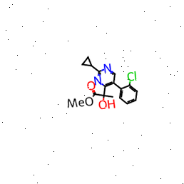 COC(=O)C(C)(O)c1nc(C2CC2)ncc1-c1ccccc1Cl